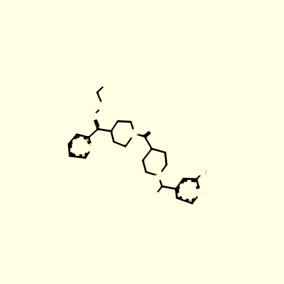 CCON=C(c1ccccn1)C1CCN(C(=O)C2CCN(C(C)c3ccnc(N)c3)CC2)CC1